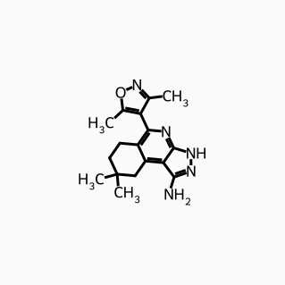 Cc1noc(C)c1-c1nc2[nH]nc(N)c2c2c1CCC(C)(C)C2